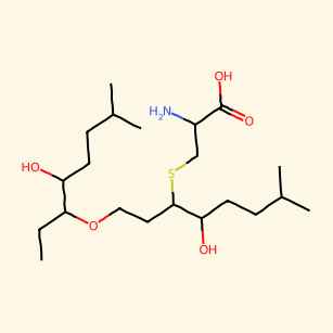 CCC(OCCC(SCC(N)C(=O)O)C(O)CCC(C)C)C(O)CCC(C)C